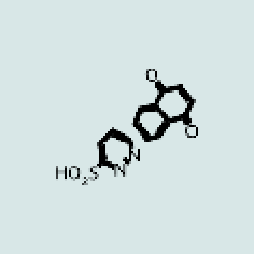 O=C1C=CC(=O)c2ccccc21.O=S(=O)(O)c1cccnn1